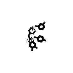 Cc1ccc(Cn2c(CC3CCN(Cc4cccc(C)c4)CC3)nc3cc(C)c(C)cc32)cc1